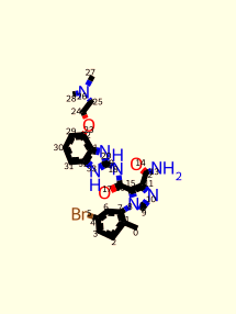 Cc1ccc(Br)cc1-n1cnc(C(N)=O)c1C(=O)Nc1nc2c(OCCN(C)C)cccc2[nH]1